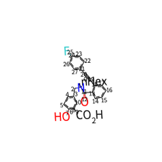 CCCCCCN(Cc1ccc(O)c(C(=O)O)c1)C(=O)c1ccccc1C#Cc1ccc(F)cc1